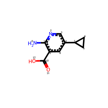 Nc1ncc(C2CC2)cc1C(=O)O